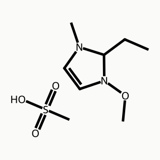 CCC1N(C)C=CN1OC.CS(=O)(=O)O